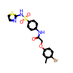 Cc1cc(OCC(=O)Nc2ccc(S(=O)(=O)Nc3nccs3)cc2)ccc1Br